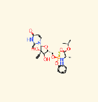 C#C[C@@]1(O)[C@H](O)[C@@H](COP(=S)(N[C@@H](C)C(=O)OC(C)C)Oc2ccccc2)O[C@H]1N1C=CC(=O)NC1=C